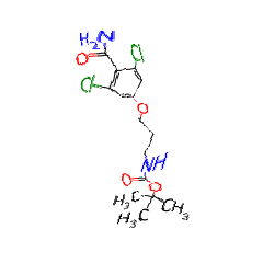 CC(C)(C)OC(=O)NCCCOc1cc(Cl)c(C(N)=O)c(Cl)c1